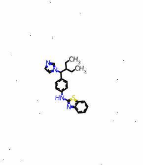 CCC(CC)C(c1ccc(Nc2nc3ccccc3s2)cc1)n1ccnc1